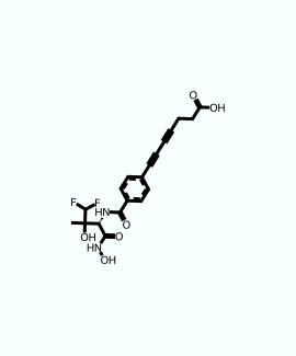 CC(O)(C(F)F)[C@H](NC(=O)c1ccc(C#CC#CCCC(=O)O)cc1)C(=O)NO